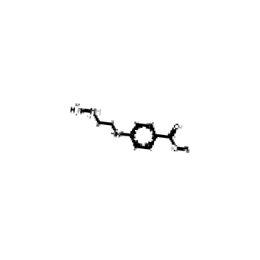 COC(=O)c1ccc(NCCNN)cc1